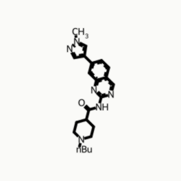 CCCCN1CCC(C(=O)Nc2ncc3ccc(-c4cnn(C)c4)cc3n2)CC1